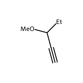 [C]#CC(CC)OC